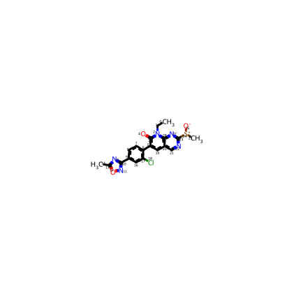 CCn1c(=O)c(-c2ccc(-c3noc(C)n3)cc2Cl)cc2cnc([S+](C)[O-])nc21